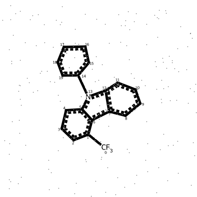 FC(F)(F)c1cccc2c1c1cc[c]cc1n2-c1ccccc1